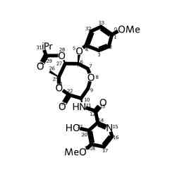 COc1ccc(O[C@H]2COC[C@H](NC(=O)c3nccc(OC)c3O)C(=O)O[C@@H](C)[C@@H]2OC(=O)C(C)C)cc1